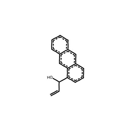 C=CC(O)c1cccc2cc3ccccc3cc12